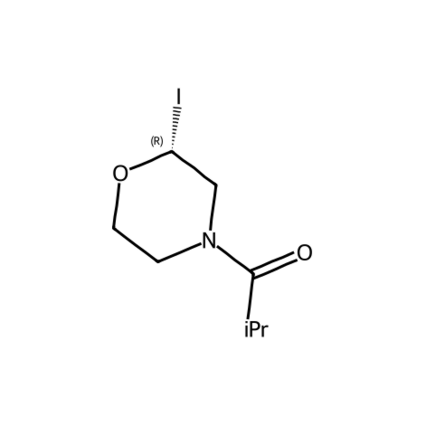 CC(C)C(=O)N1CCO[C@H](I)C1